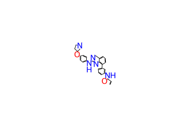 C=CC(=O)Nc1cccc(-c2cccc3cnc(Nc4ccc(O[C@@H]5CCN(C)C5)cc4)nc23)c1